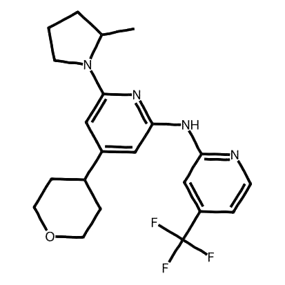 CC1CCCN1c1cc(C2CCOCC2)cc(Nc2cc(C(F)(F)F)ccn2)n1